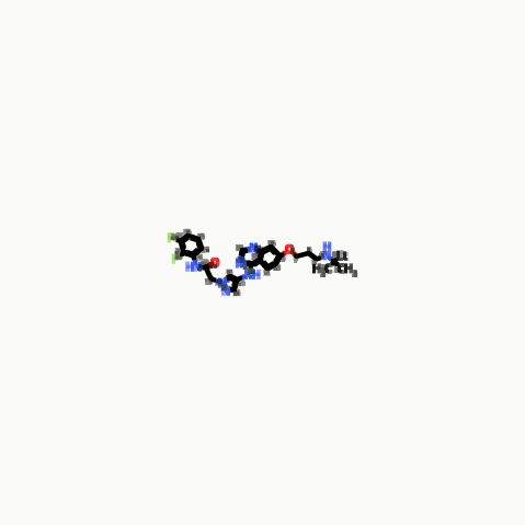 [CH2]CC(C)(C)NCCCOc1ccc2c(Nc3cnn(CC(=O)Nc4cccc(F)c4F)c3)ncnc2c1